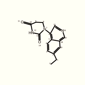 CCc1ccc2c(N3CCC(=O)NC3=O)cncc2c1